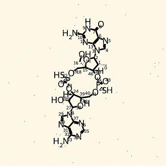 C[C@H]1[C@H](n2cnc3c(=O)[nH]c(N)nc32)O[C@]2(CO)CO[P@@](=O)(S)O[C@H]3[C@@H](O)[C@H](n4cnc5c(N)ncnc54)O[C@@H]3CO[P@@](=O)(S)O[C@@H]12